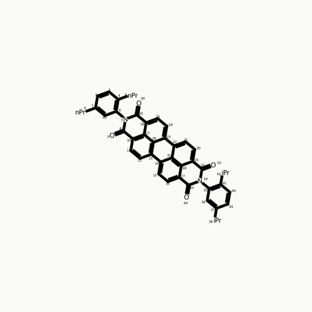 CCCc1ccc(CCC)c(N2C(=O)c3ccc4c5ccc6c7c(ccc(c8ccc(c3c48)C2=O)c75)C(=O)N(c2cc(C(C)C)ccc2C(C)C)C6=O)c1